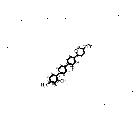 CCCC1CCC(c2ccc(-c3ccc(-c4ccc(C)c(F)c4C)cc3)c(F)c2)OC1